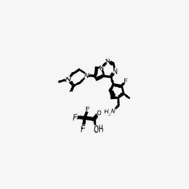 Cc1c(CN)ccc(-c2ncnn3cc(N4CCN(C)C(C)C4)cc23)c1F.O=C(O)C(F)(F)F